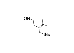 CC(C)=C(CCN=O)CC(C)(C)C